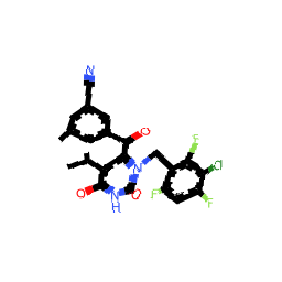 Cc1cc(C#N)cc(C(=O)c2c(C(C)C)c(=O)[nH]c(=O)n2Cc2c(F)cc(F)c(Cl)c2F)c1